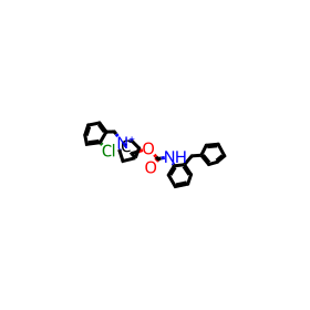 O=C(Nc1ccccc1Cc1ccccc1)OC1C[N+]2(Cc3ccccc3Cl)CCC1CC2